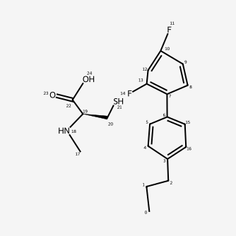 CCCc1ccc(-c2ccc(F)cc2F)cc1.CN[C@H](CS)C(=O)O